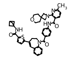 Cc1ccc(C(=O)Nc2ccc(C(=O)N3CCC(c4ccc(C(=O)NC56CC(C5)C6)s4)=Cc4ccccc43)cc2)c(N2CC3(CCOCC3)C2)n1